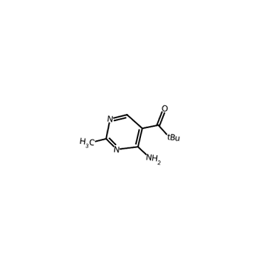 Cc1ncc(C(=O)C(C)(C)C)c(N)n1